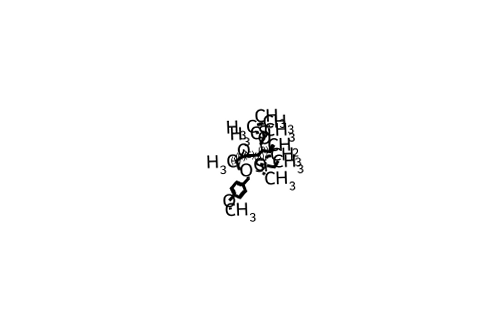 C=C[C@H](CO[Si](C)(C)C(C)(C)C)[C@H](O[Si](CC)(CC)CC)[C@H]1O[C@@H]1[C@@H](C)COCc1ccc(OC)cc1